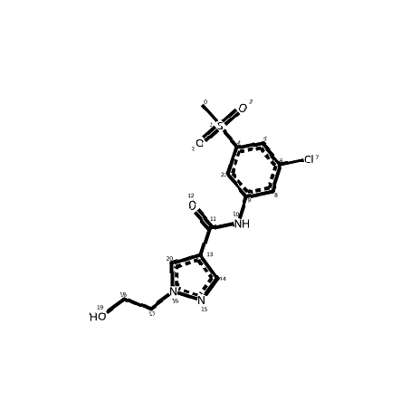 CS(=O)(=O)c1cc(Cl)cc(NC(=O)c2cnn(CCO)c2)c1